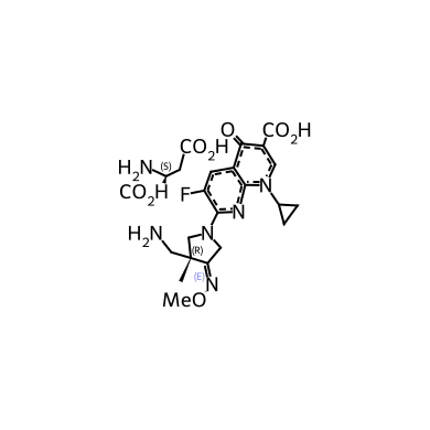 CO/N=C1/CN(c2nc3c(cc2F)c(=O)c(C(=O)O)cn3C2CC2)C[C@@]1(C)CN.N[C@@H](CC(=O)O)C(=O)O